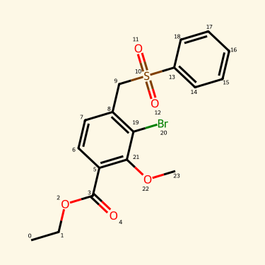 CCOC(=O)c1ccc(CS(=O)(=O)c2ccccc2)c(Br)c1OC